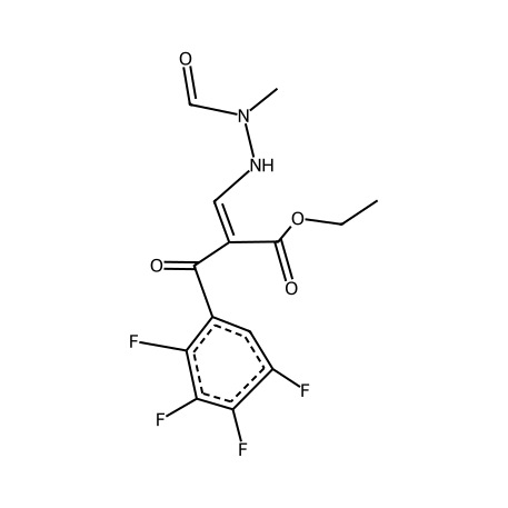 CCOC(=O)/C(=C\NN(C)C=O)C(=O)c1cc(F)c(F)c(F)c1F